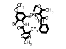 CC1=C(C(=O)Nc2ccccc2)S(=O)(=O)CCO1.Cc1nc(C(F)(F)F)c(C(=O)Nc2c(Br)cc(OC(F)(F)F)cc2Br)s1